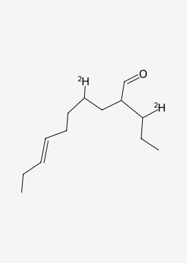 [2H]C(CCC=CCC)CC(C=O)C([2H])CC